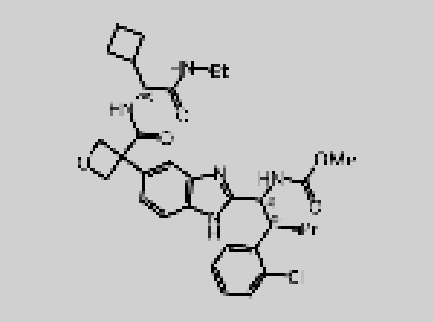 CCNC(=O)[C@H](NC(=O)C1(c2ccc3[nH]c([C@@H](NC(=O)OC)[C@H](c4ccccc4Cl)C(C)C)nc3c2)COC1)C1CCC1